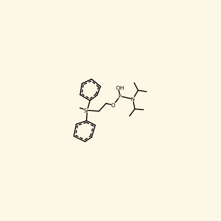 CC(C)N(C(C)C)P(O)OCC[Si](C)(c1ccccc1)c1ccccc1